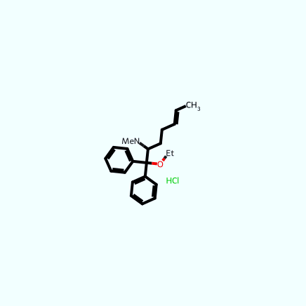 CC=CCCC(NC)C(OCC)(c1ccccc1)c1ccccc1.Cl